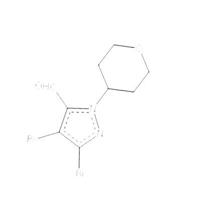 O=Cc1c(Br)c(Br)nn1C1CCOCC1